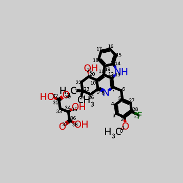 COc1ccc(Cc2nc3c(c4c2[nH]c2ccccc24)[C@@H](O)CC(C)(C)C3)cc1F.O=C(O)CC(O)C(=O)O